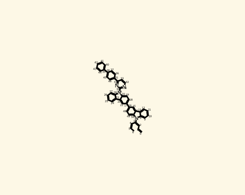 C=C/C=C(\C=C/C)n1c2ccccc2c2cc(-c3ccc4c(c3)c3ccccc3n4-c3nccc(-c4ccc(-c5ccccc5)cc4)n3)ccc21